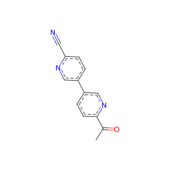 CC(=O)c1ccc(-c2ccc(C#N)nc2)cn1